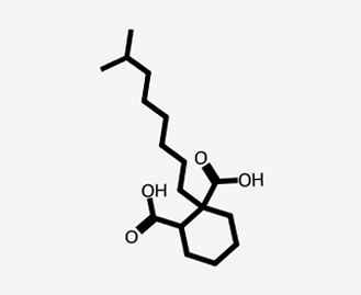 CC(C)CCCCCCC1(C(=O)O)CCCCC1C(=O)O